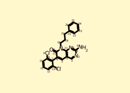 Nc1ncc2cc(-c3c(Cl)cccc3Cl)c(=O)n(CCCc3ccccc3)c2n1